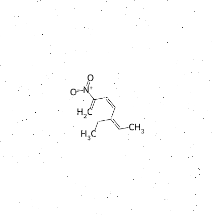 C=C(/C=C\C(=C/C)CC)[N+](=O)[O-]